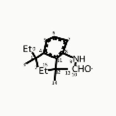 CCC(C)(C)c1cccc(N[C]=O)c1C(C)(C)CC